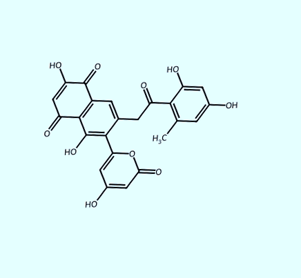 Cc1cc(O)cc(O)c1C(=O)Cc1cc2c(c(O)c1-c1cc(O)cc(=O)o1)C(=O)C=C(O)C2=O